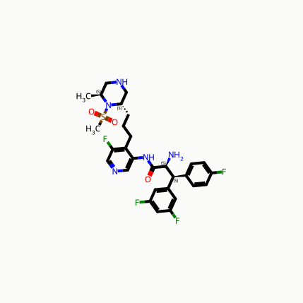 C[C@H]1CNC[C@H](CCCc2c(F)cncc2NC(=O)[C@@H](N)[C@@H](c2ccc(F)cc2)c2cc(F)cc(F)c2)N1S(C)(=O)=O